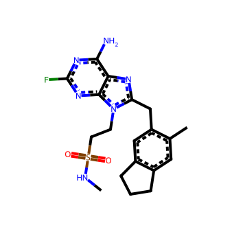 CNS(=O)(=O)CCn1c(Cc2cc3c(cc2C)CCC3)nc2c(N)nc(F)nc21